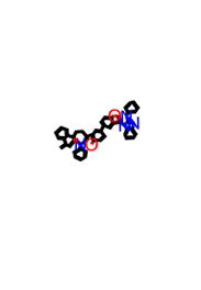 C=C1C=C2C(CCc3c(oc4ccc(-c5ccc6oc7c(c6c5)n5c6ccccc6nc5n7-c5ccccc5)cc34)N2c2ccccc2)c2ccccc21